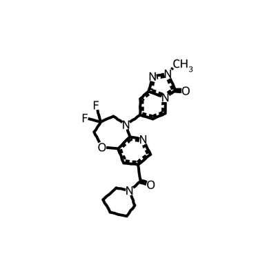 Cn1nc2cc(N3CC(F)(F)COc4cc(C(=O)N5CCCCC5)cnc43)ccn2c1=O